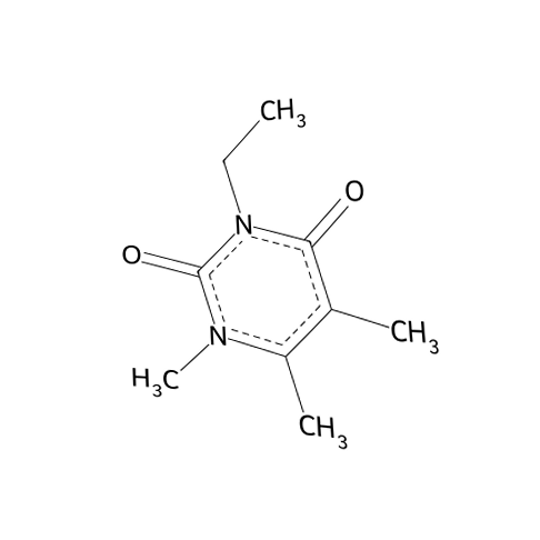 CCn1c(=O)c(C)c(C)n(C)c1=O